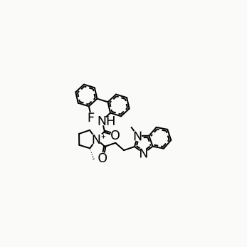 C[C@@H]1CCC[N+]1(C(=O)CCc1nc2ccccc2n1C)C(=O)Nc1ccccc1-c1ccccc1F